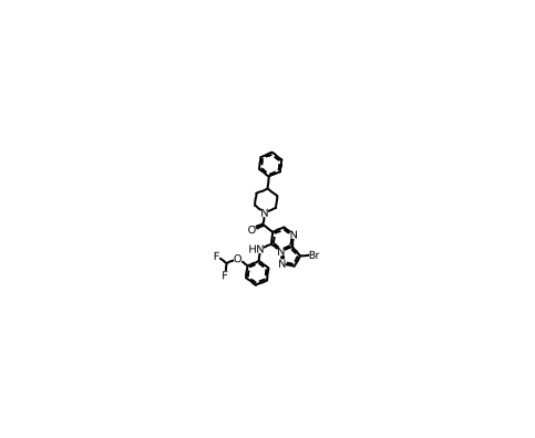 O=C(c1cnc2c(Br)cnn2c1Nc1ccccc1OC(F)F)N1CCC(c2ccccc2)CC1